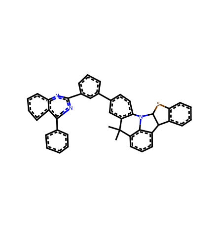 CC1(C)c2cc(-c3cccc(-c4nc(-c5ccccc5)c5ccccc5n4)c3)ccc2N2c3c(cccc31)C1c3ccccc3SC12